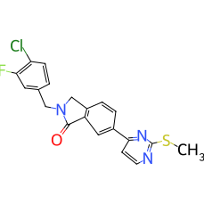 CSc1nccc(-c2ccc3c(c2)C(=O)N(Cc2ccc(Cl)c(F)c2)C3)n1